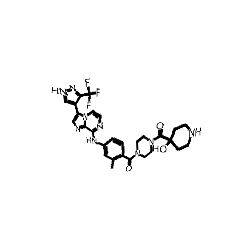 Cc1cc(Nc2nccn3c(-c4c[nH]nc4C(F)(F)F)cnc23)ccc1C(=O)N1CCN(C(=O)C2(O)CCNCC2)CC1